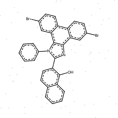 Oc1c(-c2nc3c4cc(Br)ccc4c4ccc(Br)cc4c3n2-c2ccccc2)ccc2ccccc12